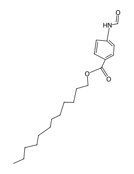 CCCCCCCCCCCCOC(=O)c1ccc(NC=O)cc1